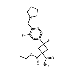 CCOC(=O)C1(C(N)=O)CC(F)(c2ccc(CN3CCCC3)c(F)c2)C1